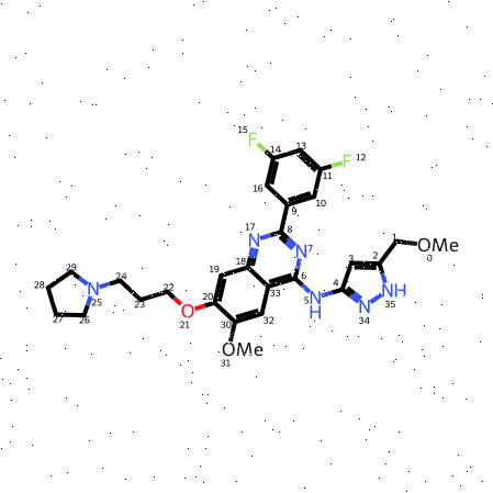 COCc1cc(Nc2nc(-c3cc(F)cc(F)c3)nc3cc(OCCCN4CCCC4)c(OC)cc23)n[nH]1